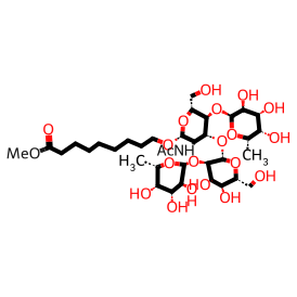 COC(=O)CCCCCCCCO[C@@H]1O[C@H](CO)[C@@H](O[C@@H]2O[C@@H](C)[C@@H](O)[C@@H](O)[C@@H]2O)[C@H](O[C@@H]2O[C@H](CO)[C@H](O)[C@H](O)[C@H]2O[C@@H]2O[C@@H](C)[C@@H](O)[C@@H](O)[C@@H]2O)[C@H]1NC(C)=O